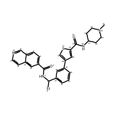 CCC(NC(=O)c1ccc2cnccc2c1)c1cccc(-c2csc(C(=O)NC3CCN(C)CC3)c2)c1